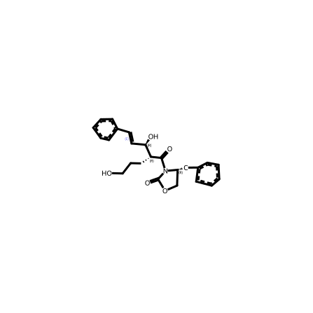 O=C1OC[C@@H](Cc2ccccc2)N1C(=O)[C@H](CCCO)[C@H](O)/C=C/c1ccccc1